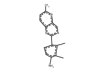 Cc1c(N)ccc(-c2ncc3nc(C(F)(F)F)ccc3n2)c1C